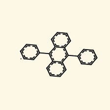 [c]1cccc(-c2c3ccccc3c(-c3ccccc3)c3ccccc23)c1